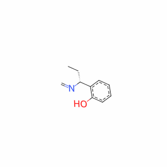 C=N[C@H](CC)c1ccccc1O